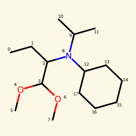 CCC(C(OC)OC)N(C(C)C)C1CCCCC1